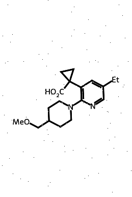 CCc1cnc(N2CCC(COC)CC2)c(C2(C(=O)O)CC2)c1